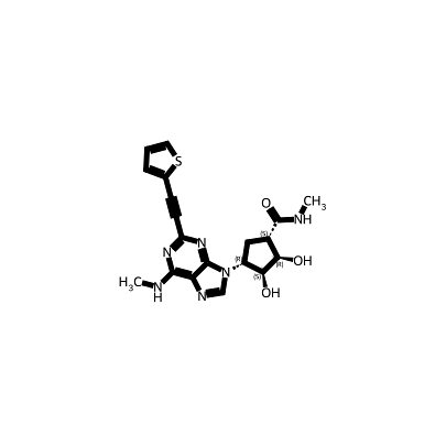 CNC(=O)[C@H]1C[C@@H](n2cnc3c(NC)nc(C#Cc4cccs4)nc32)[C@H](O)[C@@H]1O